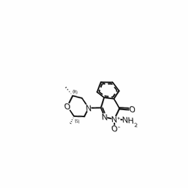 C[C@@H]1CN(C2=N[N+](N)([O-])C(=O)c3ccccc32)C[C@H](C)O1